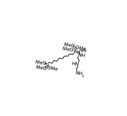 CCCN(NCCNCCN)C(CCCCCCCCCC[Si](OC)(OC)OC)[Si](OC)(OC)OC